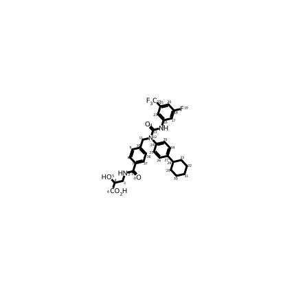 O=C(NCC(O)C(=O)O)c1ccc(CN(C(=O)Nc2cc(F)cc(C(F)(F)F)c2)c2ccc(C3CCCCC3)cc2)cc1